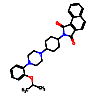 CC(C)Oc1ccccc1N1CCN(C2CCC(N3C(=O)c4ccc5ccccc5c4C3=O)CC2)CC1